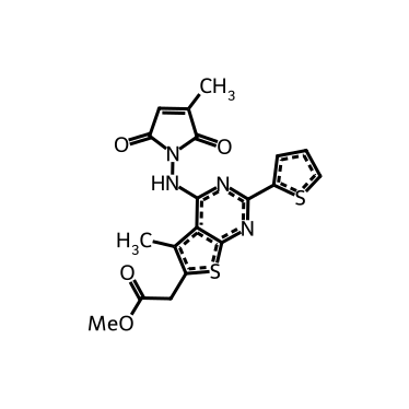 COC(=O)Cc1sc2nc(-c3cccs3)nc(NN3C(=O)C=C(C)C3=O)c2c1C